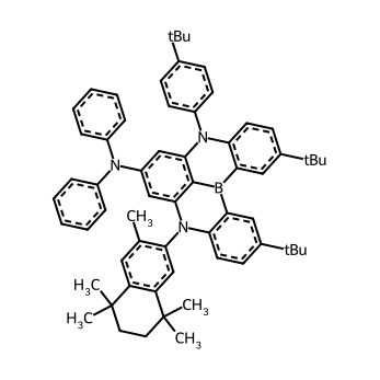 Cc1cc2c(cc1N1c3ccc(C(C)(C)C)cc3B3c4cc(C(C)(C)C)ccc4N(c4ccc(C(C)(C)C)cc4)c4cc(N(c5ccccc5)c5ccccc5)cc1c43)C(C)(C)CCC2(C)C